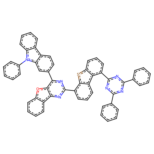 c1ccc(-c2nc(-c3ccccc3)nc(-c3cccc4sc5c(-c6nc(-c7ccc8c9ccccc9n(-c9ccccc9)c8c7)c7oc8ccccc8c7n6)cccc5c34)n2)cc1